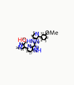 COc1cccc(-c2nccc3[nH]c(-c4n[nH]c5ccc(-c6cn(C)nc6CO)nc45)nc23)c1